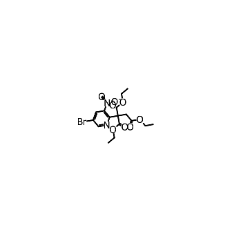 CCOC(=O)CC(C(=O)OCC)(C(=O)OCC)c1ncc(Br)cc1[N+](=O)[O-]